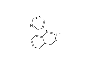 F.c1ccc2ncncc2c1.c1ccncc1